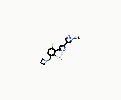 Cc1c(CN2CCC2)ccc(F)c1-c1cc(-c2cnn(C)c2)n[nH]1